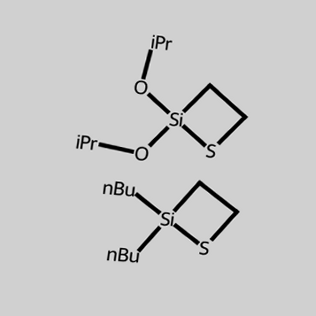 CC(C)O[Si]1(OC(C)C)CCS1.CCCC[Si]1(CCCC)CCS1